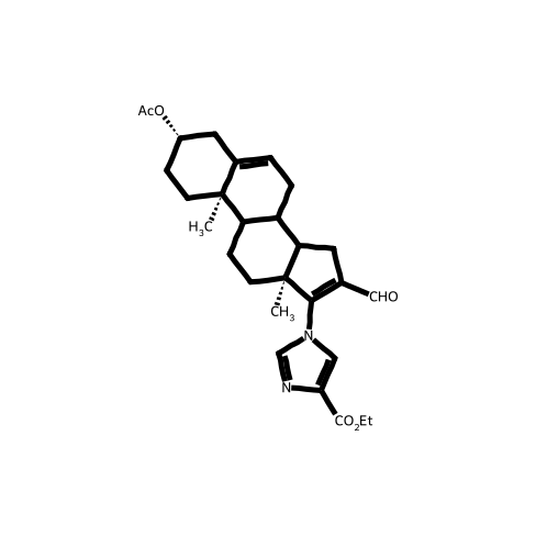 CCOC(=O)c1cn(C2=C(C=O)CC3C4CC=C5C[C@@H](OC(C)=O)CC[C@]5(C)C4CC[C@]23C)cn1